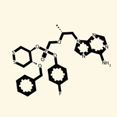 C[C@H](Cn1cnc2c(N)ncnc21)OCP(=O)(Oc1ccc(F)cc1)O[C@@H]1CSSC[C@H]1OCc1ccccc1